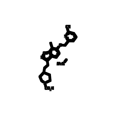 CNC.Cc1c(OCc2cccc(C#N)n2)ccc2c(CCC3CCN(C(=O)O)CC3)noc12